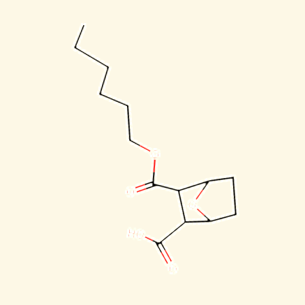 CCCCCCOC(=O)C1C2CCC(O2)C1C(=O)O